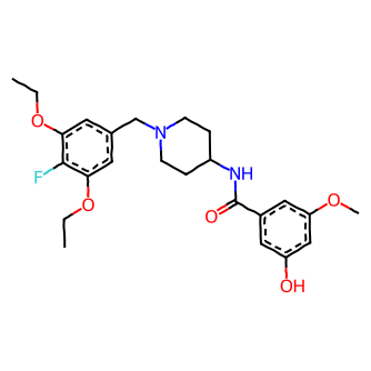 CCOc1cc(CN2CCC(NC(=O)c3cc(O)cc(OC)c3)CC2)cc(OCC)c1F